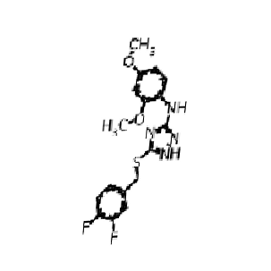 COc1ccc(Nc2n[nH]c(SCc3ccc(F)c(F)c3)n2)c(OC)c1